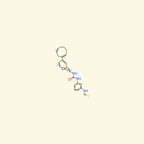 C/C=C\C(=CC/C=C/NC(=O)Nc1cccc(NC=S)c1)/C1=C/CCC/C=C\C1